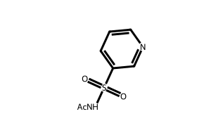 CC(=O)NS(=O)(=O)c1cccnc1